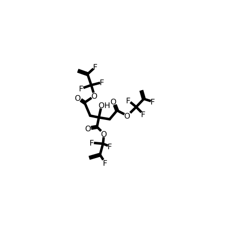 C=C(F)C(F)(F)OC(=O)CC(O)(CC(=O)OC(F)(F)C(=C)F)C(=O)OC(F)(F)C(=C)F